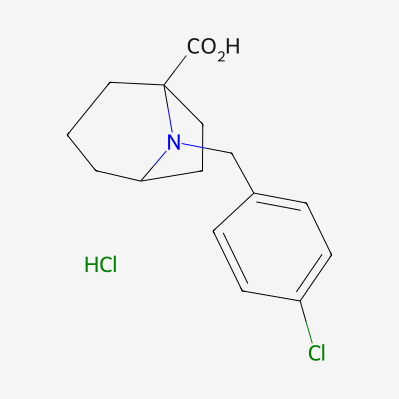 Cl.O=C(O)C12CCCC(CC1)N2Cc1ccc(Cl)cc1